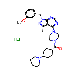 CCOc1cccc(Cn2nc(C)c3c(N4CCN(C(=O)[C@H]5CC[C@H](N6CCCCC6)CC5)CC4)ncnc32)c1.Cl